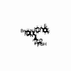 Fc1ccc(CN2CCN(c3nc4cc(Br)ncc4nc3CC3CC3)CC2)c(F)c1.O=C(O)C(F)(F)F